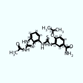 CC(=O)Nc1nc2c(NC(=S)Nc3cc(C(N)=O)ccc3OC(C)C)cccc2[nH]1